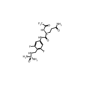 NC(=O)CC[C@H](NC(=O)C(F)(F)F)C(=O)Nc1cc(F)c(CNP(N)(N)=O)c(F)c1